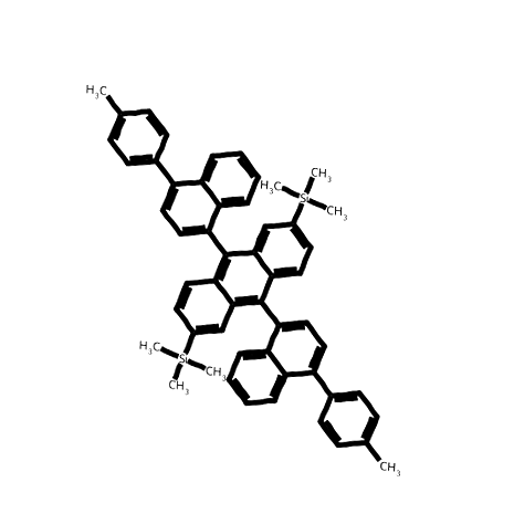 Cc1ccc(-c2ccc(-c3c4ccc([Si](C)(C)C)cc4c(-c4ccc(-c5ccc(C)cc5)c5ccccc45)c4ccc([Si](C)(C)C)cc34)c3ccccc23)cc1